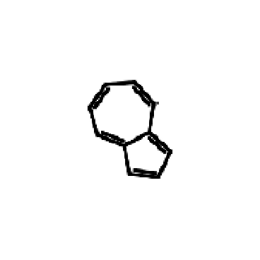 [c]1ccccc2cccc1-2